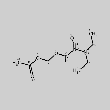 CCN(CC)[NH+]([O-])NOCOC(C)=O